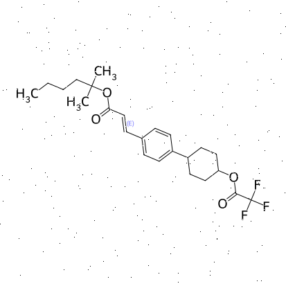 CCCCC(C)(C)OC(=O)/C=C/c1ccc(C2CCC(OC(=O)C(F)(F)F)CC2)cc1